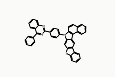 c1ccc(-c2nc(-c3ccc(-n4c5cc6sc7ccccc7c6cc5c5c6ccccc6ccc54)cc3)nc3ccccc23)cc1